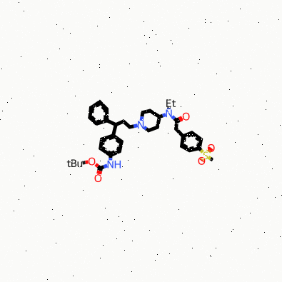 CCN(C(=O)Cc1ccc(S(C)(=O)=O)cc1)C1CCN(CCC(c2ccccc2)c2ccc(NC(=O)OC(C)(C)C)cc2)CC1